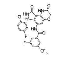 O=C1COc2cc(NC(=O)c3cc(F)cc(C(F)(F)F)c3)c3c(c2N1)C(=O)N[C@H]3c1cc(F)ccc1Cl